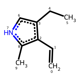 C=Cc1c(CC)c[nH]c1C